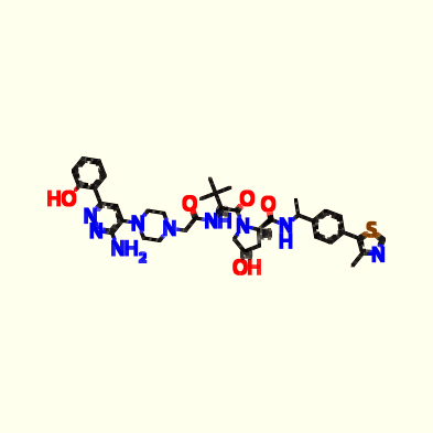 Cc1ncsc1-c1ccc(C(C)NC(=O)[C@H]2C[C@H](O)CN2C(=O)[C@@H](NC(=O)CN2CCN(c3cc(-c4ccccc4O)nnc3N)CC2)C(C)(C)C)cc1